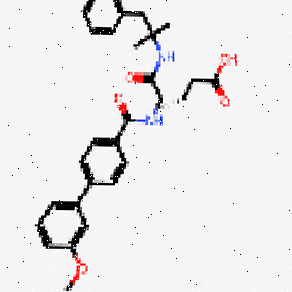 COc1cccc(-c2ccc(C(=O)N[C@@H](CCC(=O)O)C(=O)NC(C)(C)Cc3ccccc3)cc2)c1